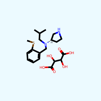 CSc1ccccc1CN(CC(C)C)[C@H]1CCNC1.O=C(O)C(O)C(O)C(=O)O